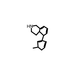 CC1C=C(C2C=CC=C3CNCCC32)C=CC1